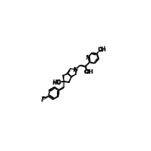 Oc1ccc(C(O)CN2CC3CC(O)(Cc4ccc(F)cc4)CC3C2)nc1